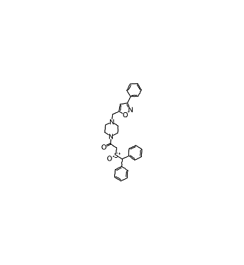 O=C(C[S+]([O-])C(c1ccccc1)c1ccccc1)N1CCN(Cc2cc(-c3ccccc3)no2)CC1